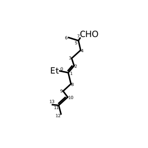 CC/C(=C\CCC(C)C=O)CCC=C(C)C